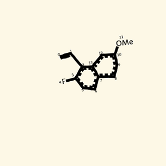 C=Cc1c(F)ccc2ccc(OC)cc12